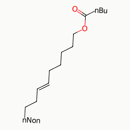 CCCCCCCCCCCC=CCCCCCOC(=O)CCCC